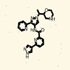 CC(C1CNCCO1)n1cc(NC(=O)c2cccc(-c3cn[nH]c3)n2)c(-c2ccccn2)n1